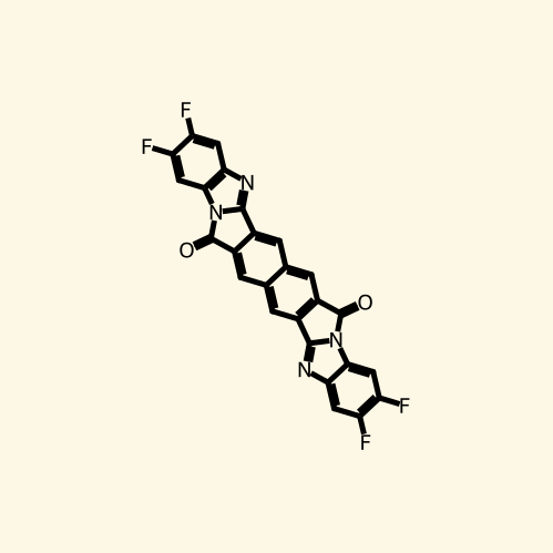 O=c1c2cc3cc4c(cc3cc2c2nc3cc(F)c(F)cc3n12)c(=O)n1c2cc(F)c(F)cc2nc41